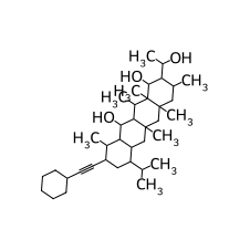 CC(C)C1CC(C#CC2CCCCC2)C(C)C2C(O)C3C(C)C4(C)C(O)C(C(C)O)C(C)CC4(C)CC3(C)CC12